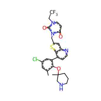 Cc1cc(Cl)cc(-c2ccnc3cc(Cn4c(=O)ccn(CC(F)(F)F)c4=O)sc23)c1OC1(C)CCCNC1